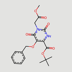 COC(=O)Cn1c(=O)[nH]c(C(=O)OC(C)(C)C)c(OCc2ccccc2)c1=O